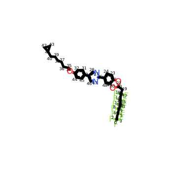 FC(F)(F)C(F)(F)C(F)(F)C(F)(F)C(F)(F)C(F)(F)CC1Oc2ccc(-c3ncc(-c4ccc(OCCCCCCC5CC5)cc4)cn3)cc2O1